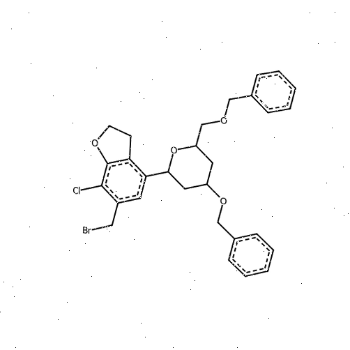 Clc1c(CBr)cc(C2CC(OCc3ccccc3)CC(COCc3ccccc3)O2)c2c1OCC2